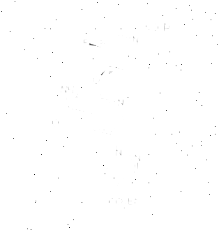 CCOC(=O)c1cnn(-c2cnc(O[C@@H]3CCN(C(=O)O)C[C@@H]3F)c(C(N)=O)c2)c1